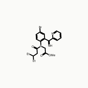 CCC(CC)CC(=O)N(CC(=O)OC)c1ccc(Br)cc1C(=N)c1ccccn1